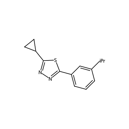 CC(C)c1cccc(-c2nnc(C3CC3)s2)c1